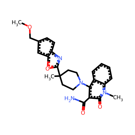 COCc1ccc2nc(C3(C)CCN(c4c(C(N)=O)c(=O)n(C)c5ccccc45)CC3)oc2c1